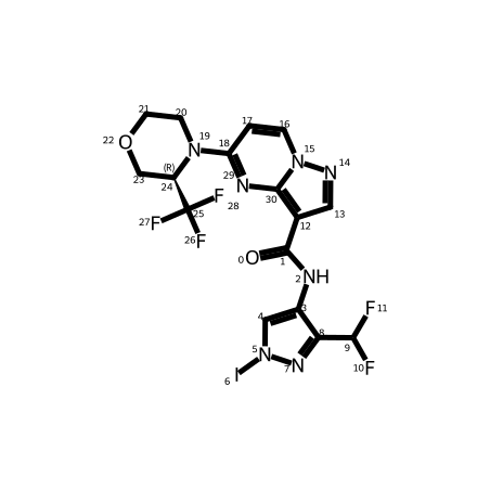 O=C(Nc1cn(I)nc1C(F)F)c1cnn2ccc(N3CCOC[C@@H]3C(F)(F)F)nc12